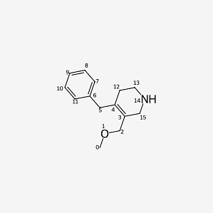 COCC1=C(Cc2ccccc2)CCNC1